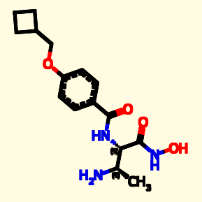 C[C@@H](N)[C@H](NC(=O)c1ccc(OCC2CCC2)cc1)C(=O)NO